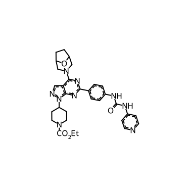 CCOC(=O)N1CCC(n2ncc3c(N4CC5CCC(C4)O5)nc(-c4ccc(NC(=O)Nc5ccncc5)cc4)nc32)CC1